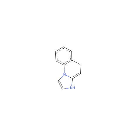 C1=CN2C(=CCc3ccccc32)N1